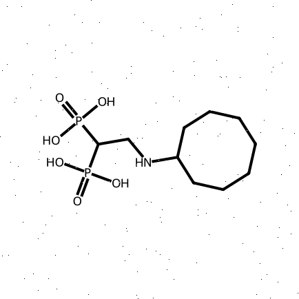 O=P(O)(O)C(CNC1CCCCCCC1)P(=O)(O)O